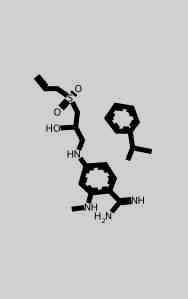 C=CCS(=O)(=O)CC(O)CNc1ccc(C(=N)N)c(NC)c1.CC(C)c1ccccc1